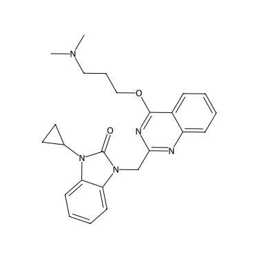 CN(C)CCCOc1nc(Cn2c(=O)n(C3CC3)c3ccccc32)nc2ccccc12